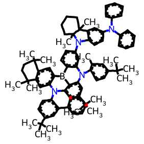 Cc1cc(C(C)(C)C)ccc1N1c2cc(N3c4ccc(N(c5ccccc5)c5ccccc5)cc4C4(C)CCCCC34C)ccc2B2c3cc4c(cc3N(c3ccc(C(C)(C)C)cc3-c3ccccc3)c3cc(C(C)(C)C)cc1c32)C(C)(C)CCC4(C)C